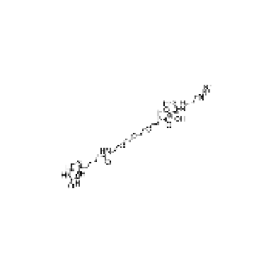 [N-]=[N+]=NCCCNC(=O)[C@H](O)[C@@H](O)C(=O)NCCOCCOCCOCCNC(=O)CCCC[C@@H]1SC[C@@H]2NC(=O)N[C@@H]21